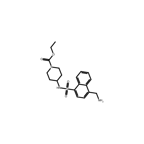 CCOC(=O)N1CCC(NS(=O)(=O)c2ccc(CN)c3ccccc23)CC1